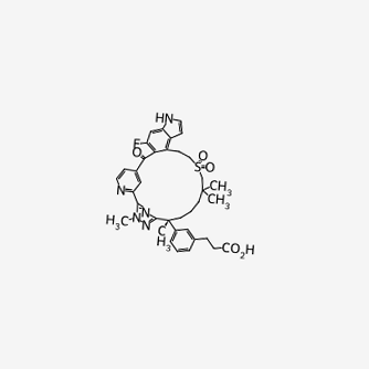 Cn1nc2nc1-c1cc(ccn1)C(=O)c1c(F)cc3[nH]ccc3c1CCS(=O)(=O)CC(C)(C)CCC[C@]2(C)c1cccc(CCC(=O)O)c1